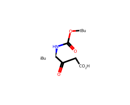 CC[C@H](C)[C@@H](NC(=O)OC(C)(C)C)C(=O)CC(=O)O